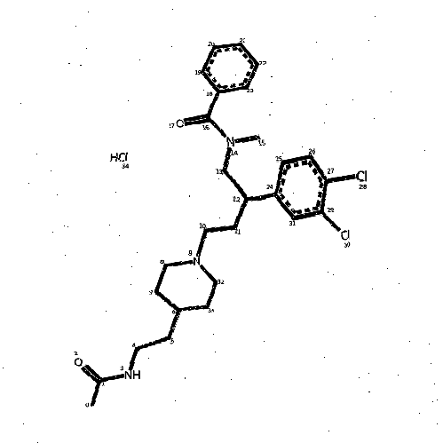 CC(=O)NCCC1CCN(CCC(CN(C)C(=O)c2ccccc2)c2ccc(Cl)c(Cl)c2)CC1.Cl